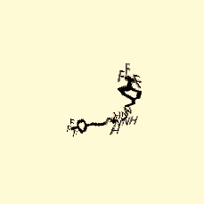 N=C(N/N=C/Cc1ccc(C(F)(F)F)cc1)N/N=C/Cc1ccc(C(F)(F)F)cc1